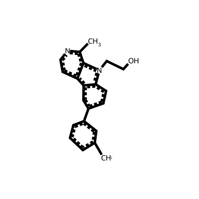 [CH]c1cccc(-c2ccc3c(c2)c2ccnc(C)c2n3CCO)c1